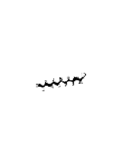 C=C/C=C/C=C/CCC/C=C/CC